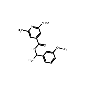 CC(=O)Nc1cc(C(=O)NC(C)c2cccc(OC(F)(F)F)c2)cc(C)n1